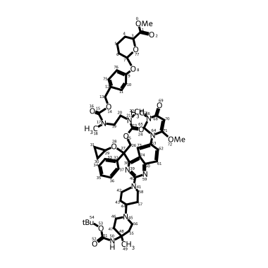 COC(=O)C1CCCC(Oc2ccc(COC(=O)N(C)CCN(C)C(=O)OCC(OC3CC3)(c3ccccc3)c3nc(N4CCC(N5CCC(C)(NC(=O)OC(C)(C)C)CC5)CC4)nc4ccc(N5CN(C)C(=O)C=C5OC)cc34)cc2)O1